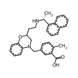 Cc1ccc(CN2CC(CCN[C@H](C)c3cccc4ccccc34)Oc3ccccc32)cc1C(=O)O